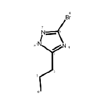 CCCC1=NC(Br)=N[N]1